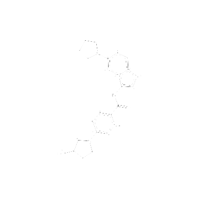 O=C(Nc1cnc2ccc(N3CCCC3)nn12)c1ccc(N2CCC(O)C2)nn1